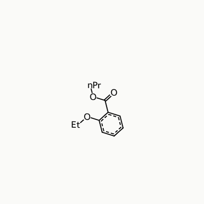 CCCOC(=O)c1ccccc1OCC